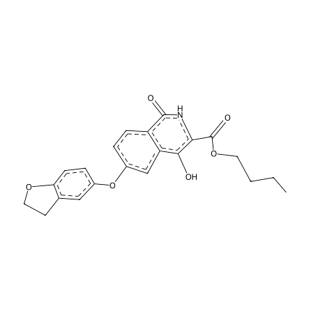 CCCCOC(=O)c1[nH]c(=O)c2ccc(Oc3ccc4c(c3)CCO4)cc2c1O